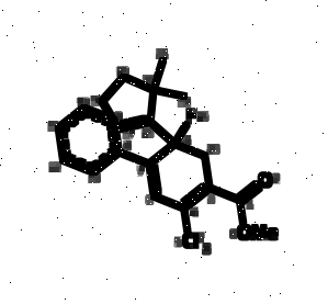 COC(=O)C1=C(C(F)(F)F)C=C(c2ccccc2)C(F)(C2=CCCC2(C)C)C1